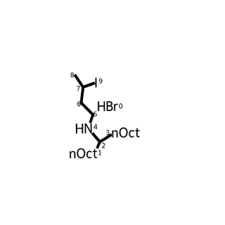 Br.CCCCCCCCC(CCCCCCCC)NCCC(C)I